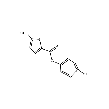 CC(C)(C)c1ccc(OC(=O)c2ccc(C=O)s2)cc1